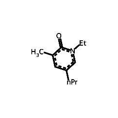 CCCc1cc(C)c(=O)n(CC)c1